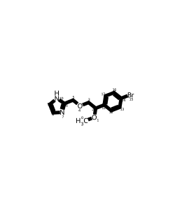 COC(COCc1ncc[nH]1)c1ccc(Br)cc1